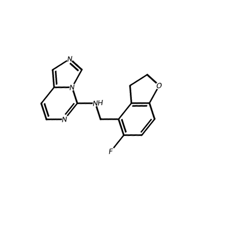 Fc1ccc2c(c1CNc1nccc3cncn13)CCO2